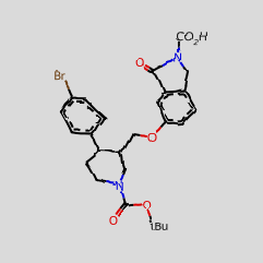 CC(C)(C)OC(=O)N1CCC(c2ccc(Br)cc2)C(COc2ccc3c(c2)C(=O)N(C(=O)O)C3)C1